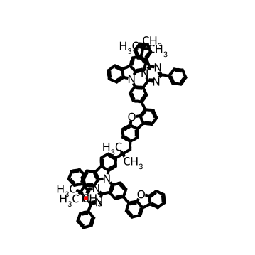 CC(C)(C)c1ccc2c(c1)c1ccccc1n2-c1ccc(-c2cccc3c2oc2ccc(CC(C)(C)c4ccc5c6ccc(C(C)(C)C)cc6n(-c6ccc(-c7cccc8c7oc7ccccc78)cc6-c6nc(-c7ccccc7)nc(-c7ccccc7)n6)c5c4)cc23)cc1-c1nc(-c2ccccc2)nc(-c2ccccc2)n1